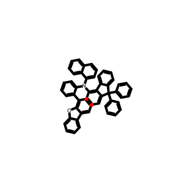 c1ccc(C2(c3ccccc3)c3ccccc3-c3c(N(c4ccccc4-c4cccc5c4oc4ccccc45)c4cccc5ccccc45)cccc32)cc1